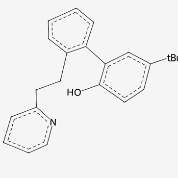 CC(C)(C)c1ccc(O)c(-c2ccccc2CCc2ccccn2)c1